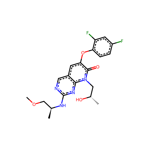 COC[C@H](C)Nc1ncc2cc(Oc3ccc(F)cc3F)c(=O)n(C[C@H](C)O)c2n1